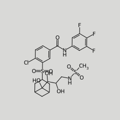 CS(=O)(=O)NCC(O)C(O)C1(O)C2CC1CC(S(=O)(=O)c1cc(C(=O)Nc3cc(F)c(F)c(F)c3)ccc1Cl)C2